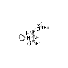 CC(C)[C@H](C(=O)Nc1ccccc1)N(C)[C@H]1N[C@@H]1CO[Si](C)(C)C(C)(C)C